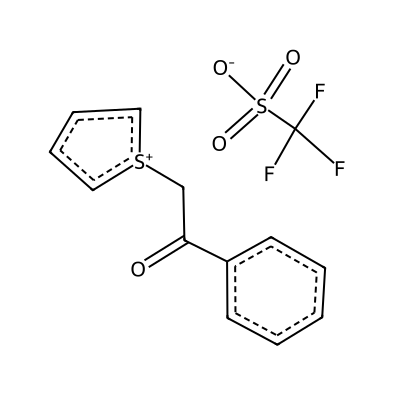 O=C(C[s+]1cccc1)c1ccccc1.O=S(=O)([O-])C(F)(F)F